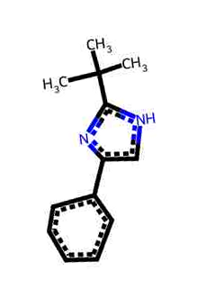 CC(C)(C)c1nc(-c2ccccc2)c[nH]1